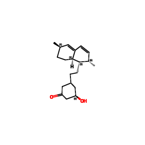 C[C@H]1C=C2C=C[C@H](C)[C@H](CCC3CC(=O)C[C@H](O)C3)[C@H]2CC1